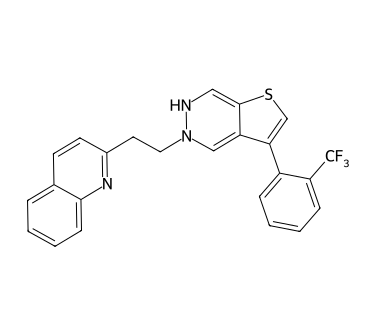 FC(F)(F)c1ccccc1-c1csc2c1=CN(CCc1ccc3ccccc3n1)NC=2